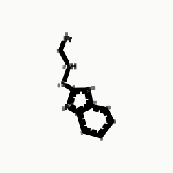 CC(C)CNSc1nc2ccccc2s1